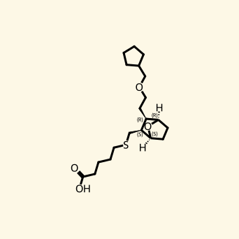 O=C(O)CCCCSC[C@H]1[C@@H](CCOCC2CCCC2)[C@H]2CC[C@@H]1O2